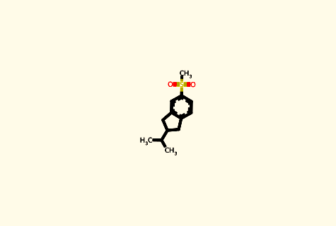 CC(C)C1Cc2ccc(S(C)(=O)=O)cc2C1